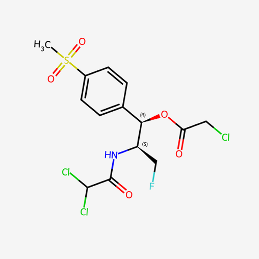 CS(=O)(=O)c1ccc([C@@H](OC(=O)CCl)[C@@H](CF)NC(=O)C(Cl)Cl)cc1